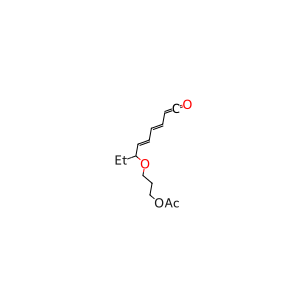 CCC(/C=C/C=C/C=C=O)OCCCOC(C)=O